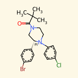 CC(C)(C)C(=O)N1CCN(c2ccc(Cl)cc2)[C@H](c2ccc(Br)cc2)C1